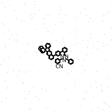 N#Cc1cccc(-c2nc(-c3ccccc3)nc(-c3ccccc3-c3ccc(-c4cccc5cc6c(cc45)-c4ccccc4C64C5CC6CC(C5)CC4C6)cc3)n2)c1